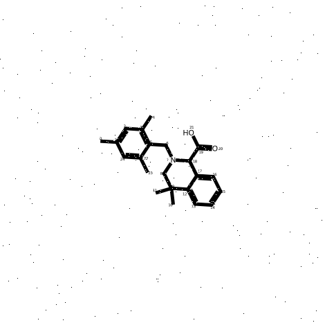 Cc1cc(C)c(CN2CC(C)(C)c3ccccc3C2C(=O)O)c(C)c1